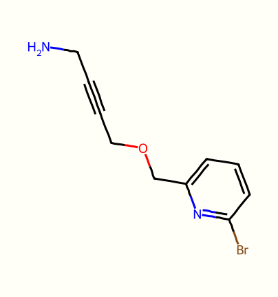 NCC#CCOCc1cccc(Br)n1